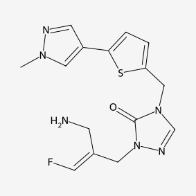 Cn1cc(-c2ccc(Cn3cnn(C/C(=C/F)CN)c3=O)s2)cn1